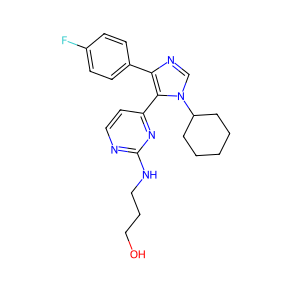 OCCCNc1nccc(-c2c(-c3ccc(F)cc3)ncn2C2CCCCC2)n1